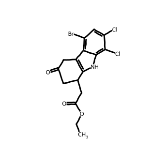 CCOC(=O)CC1CC(=O)Cc2c1[nH]c1c(Cl)c(Cl)cc(Br)c21